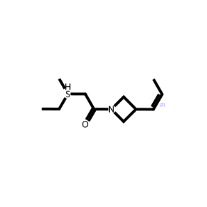 C/C=C\C1CN(C(=O)C[SH](C)CC)C1